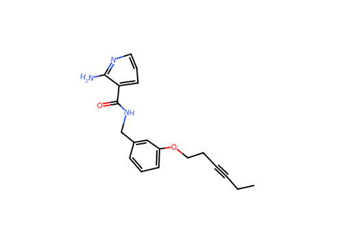 CCC#CCCOc1cccc(CNC(=O)c2cccnc2N)c1